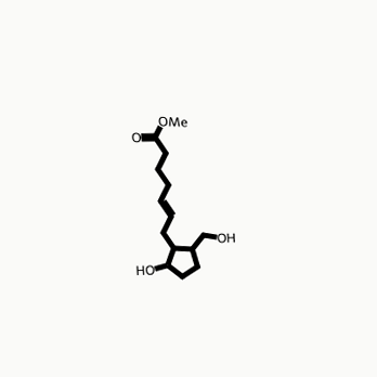 COC(=O)CCCC=CCC1C(O)CCC1CO